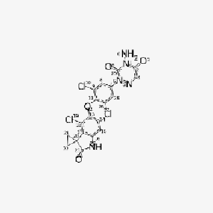 Nn1c(=O)cnn(-c2cc(Cl)c(Oc3ccc4c(c3Cl)C3(CC3)C(=O)N4)c(Cl)c2)c1=O